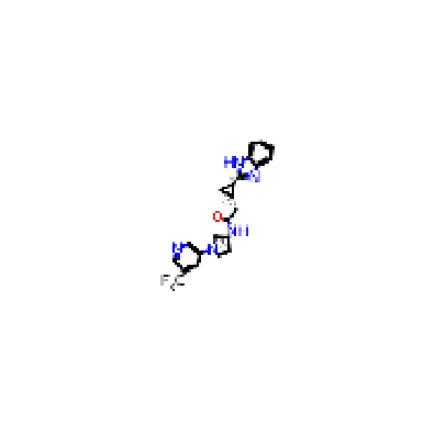 O=C(C[C@@H]1C[C@@H]1c1nc2ccccc2[nH]1)N[C@@H]1CCN(c2cncc(C(F)(F)F)c2)C1